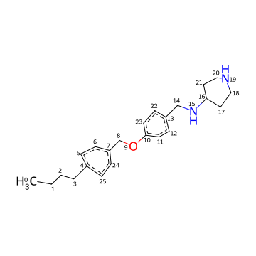 CCCCc1ccc(COc2ccc(CNC3CCNCC3)cc2)cc1